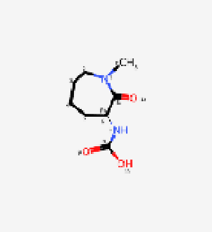 CN1CCCC[C@@H](NC(=O)O)C1=O